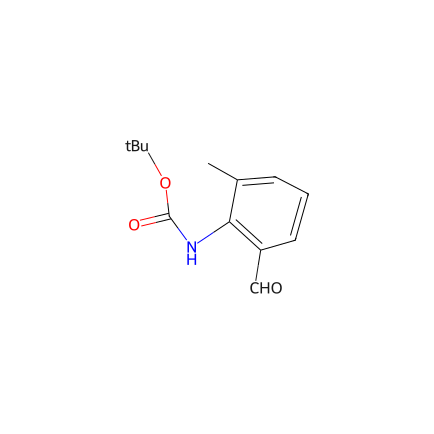 Cc1cccc(C=O)c1NC(=O)OC(C)(C)C